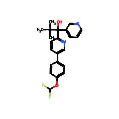 CC(C)(C)C(O)(c1cccnc1)c1ccc(-c2ccc(OC(F)F)cc2)cn1